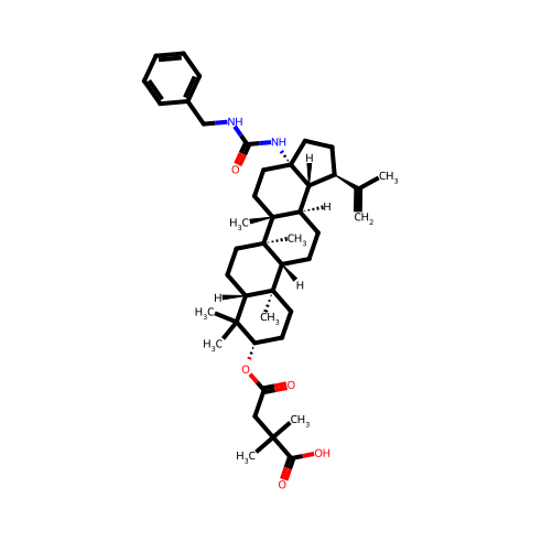 C=C(C)[C@@H]1CC[C@]2(NC(=O)NCc3ccccc3)CC[C@]3(C)[C@H](CC[C@@H]4[C@@]5(C)CC[C@H](OC(=O)CC(C)(C)C(=O)O)C(C)(C)[C@@H]5CC[C@]43C)[C@@H]12